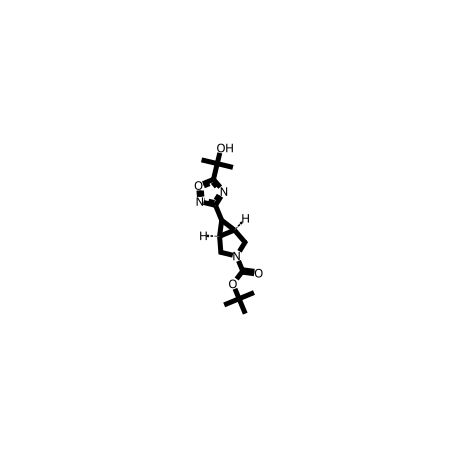 CC(C)(C)OC(=O)N1C[C@@H]2C(c3noc(C(C)(C)O)n3)[C@@H]2C1